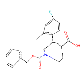 Cc1cc(F)ccc1C1CN(C(=O)OCc2ccccc2)CCC1C(=O)O